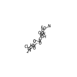 CN(C)CCCOc1cc2ncn(CC3(O)CCN(C(=O)[C@H](CCCNC(=O)c4ccc5c(Cl)cc(C6CC6)nc5c4)Cc4ccccc4)CC3)c(=O)c2cc1F